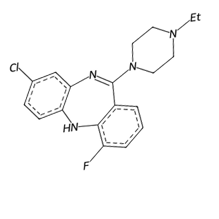 CCN1CCN(C2=Nc3cc(Cl)ccc3Nc3c(F)cccc32)CC1